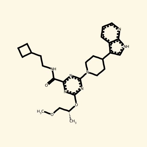 COC[C@@H](C)Oc1nc(C(=O)NCCC2CCC2)nc(N2CCC(c3c[nH]c4ncccc34)CC2)n1